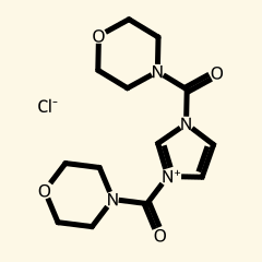 O=C(N1CCOCC1)n1cc[n+](C(=O)N2CCOCC2)c1.[Cl-]